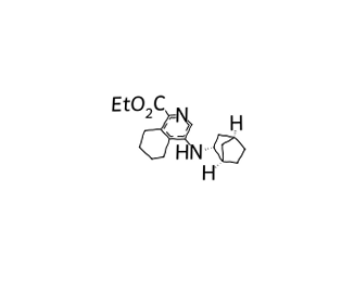 CCOC(=O)c1ncc(N[C@@H]2C[C@H]3CC[C@@H]2C3)c2c1CCCC2